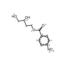 O=C(OCCC(O)CO)c1ccc([N+](=O)[O-])cc1